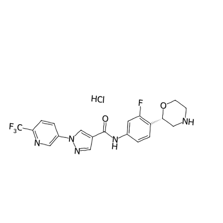 Cl.O=C(Nc1ccc([C@H]2CNCCO2)c(F)c1)c1cnn(-c2ccc(C(F)(F)F)nc2)c1